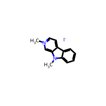 Cn1c2ccccc2c2cc[n+](C)cc21.[I-]